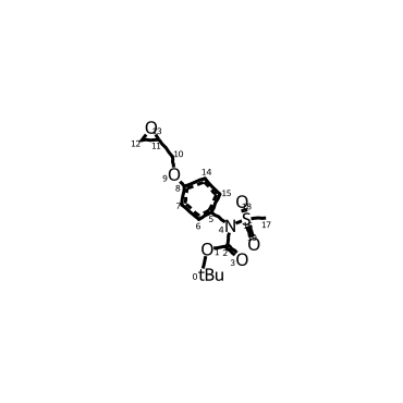 CC(C)(C)OC(=O)N(c1ccc(OCC2CO2)cc1)S(C)(=O)=O